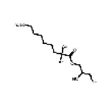 CCCCCCCCCCCCCCCCC(C(C)=O)(C(C)=O)C(=O)OCC(O)CO